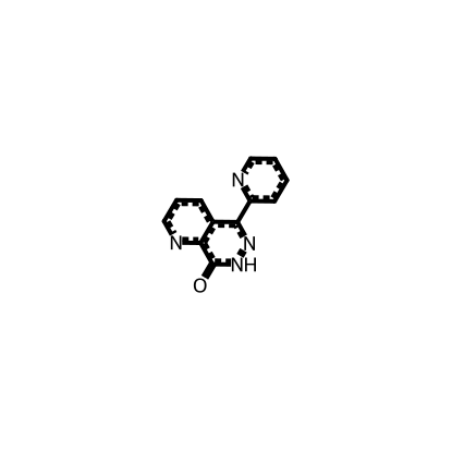 O=c1[nH]nc(-c2ccccn2)c2cccnc12